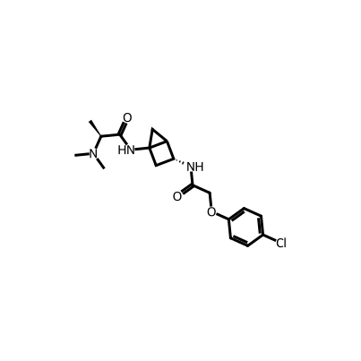 C[C@@H](C(=O)NC12CC1[C@H](NC(=O)COc1ccc(Cl)cc1)C2)N(C)C